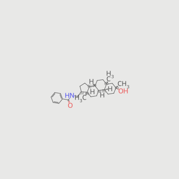 C[C@@]1(O)CC[C@@H]2[C@H]3CC[C@]4(C)[C@@H](CNC(=O)c5ccccc5)CC[C@H]4[C@@H]3CC[C@]2(C)C1